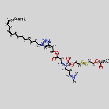 CCCCC/C=C\C/C=C\CCCCCCCCn1cc(CCOC(=O)CCN(CCCN(C)C)C(=O)OCCSSCCOC(=O)CCCCCCCC)nn1